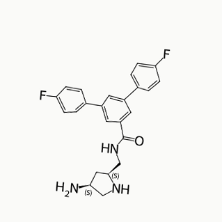 N[C@@H]1CN[C@H](CNC(=O)c2cc(-c3ccc(F)cc3)cc(-c3ccc(F)cc3)c2)C1